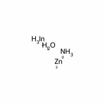 N.O.[InH3].[Zn]